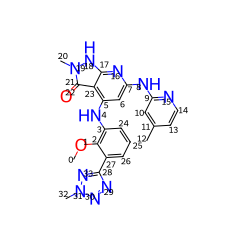 COc1c(Nc2cc(Nc3cc(C)ccn3)nc3[nH]n(C)c(=O)c23)cccc1-c1nnn(C)n1